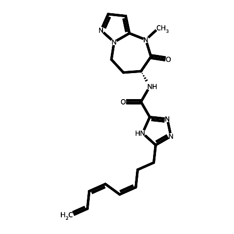 C=C/C=C\C=C/CCc1nnc(C(=O)N[C@@H]2CCn3nccc3N(C)C2=O)[nH]1